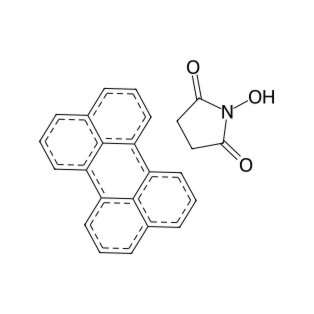 O=C1CCC(=O)N1O.c1cc2cccc3c4cccc5cccc(c(c1)c23)c54